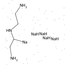 NCCN[CH]([Na])CN.[NaH].[NaH].[NaH].[NaH]